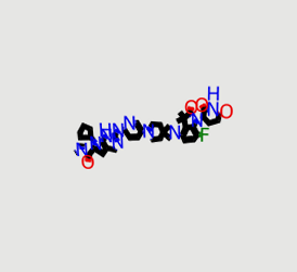 CN(C)C(=O)c1cc2cnc(Nc3ccc(N4CCC5(CC4)CN(c4ccc(F)c6c4C(C)(C)C(=O)N6[C@@H]4CCC(=O)NC4=O)C5)cn3)nc2n1C1CCCC1